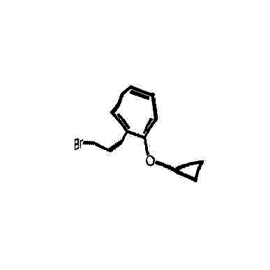 BrCc1ccccc1OC1CC1